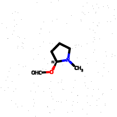 CN1CCC[C@@H]1OC=O